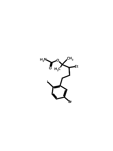 CCC(CCc1cc(Br)ccc1I)C(C)(C)OC(N)=O